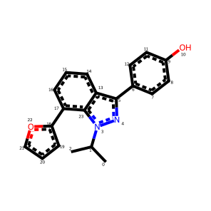 CC(C)n1nc(-c2ccc(O)cc2)c2cccc(-c3ccco3)c21